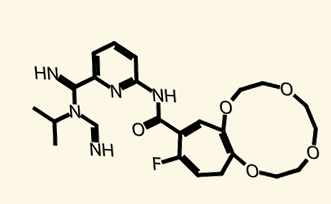 CC(C)N(C=N)C(=N)c1cccc(NC(=O)C2=CC3=C(CC=C2F)OCCOCCOCCO3)n1